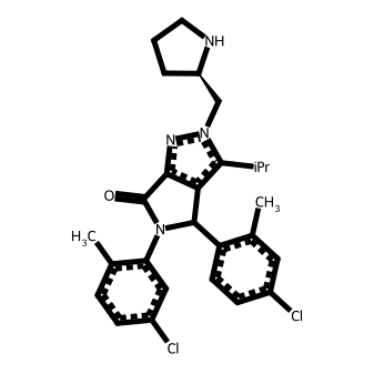 Cc1cc(Cl)ccc1C1c2c(nn(C[C@H]3CCCN3)c2C(C)C)C(=O)N1c1cc(Cl)ccc1C